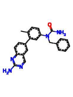 Cc1ccc(N(Cc2ccccc2)C(N)=O)cc1-c1ccc2nc(N)ncc2c1